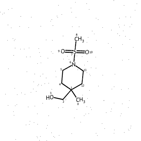 CC1(CO)CCN(S(C)(=O)=O)CC1